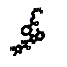 Cc1cccc2nc(NC(=O)C3=CNC(C)S3)n(C3CCCCN(C(=O)/C=C/CN)C3)c12